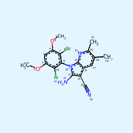 COc1cc(OC)c(Br)c(-n2c(N)c(C#N)c3cc(C)c(C)nc32)c1Br